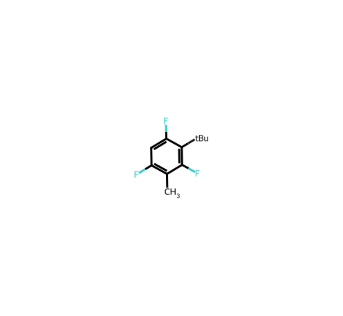 Cc1c(F)cc(F)c(C(C)(C)C)c1F